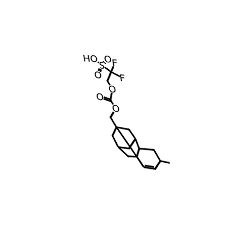 CC1C=C2C3CC4CC(CC2(COC(=O)OCC(F)(F)S(=O)(=O)O)C4)C3C1